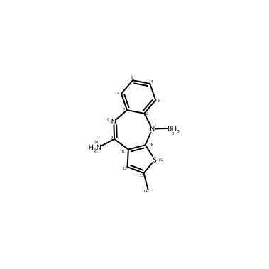 BN1c2ccccc2N=C(N)c2cc(C)sc21